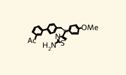 COc1ccc([C@H](Cc2ccc(-c3cccc(C(C)=O)c3)cc2)c2csc(N)n2)cc1